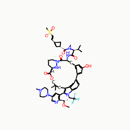 CO[C@@H](C)c1ncc(N2CCN(C)CC2)cc1-c1c2c3cc(ccc3n1CC(F)(F)F)-c1cc(O)cc(c1)C[C@H](NC(=O)[C@H](C(C)C)N(C)C(=O)[C@H]1C[C@H](/C=C/S(C)(=O)=O)C1)C(=O)N1CCC[C@H](N1)C(=O)OCC(C)(C)C2